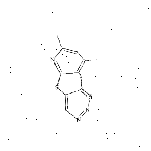 Cc1cc(C)c2c(n1)sc1cnnnc12